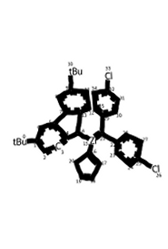 CC(C)(C)c1ccc2c(c1)-c1cc(C(C)(C)C)ccc1[CH]2[Zr]([C]1=CC=CC1)=[C](c1ccc(Cl)cc1)c1ccc(Cl)cc1